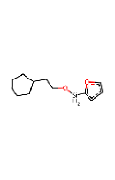 c1coc([SiH2]OCCC2CCCCC2)c1